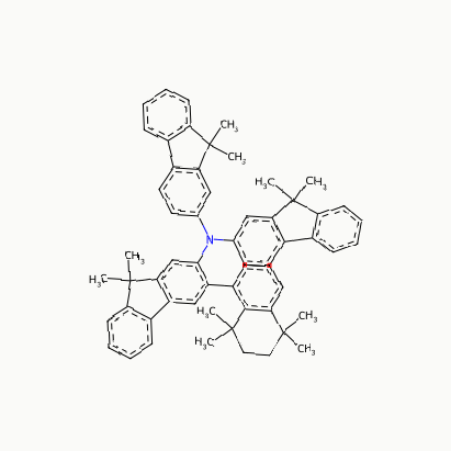 CC1(C)CCC(C)(C)c2c(-c3cc4c(cc3N(c3ccc5c(c3)C(C)(C)c3ccccc3-5)c3ccc5c(c3)C(C)(C)c3ccccc3-5)C(C)(C)c3ccccc3-4)cccc21